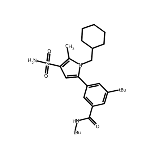 Cc1c(S(N)(=O)=O)cc(-c2cc(C(=O)NC(C)(C)C)cc(C(C)(C)C)c2)n1CC1CCCCC1